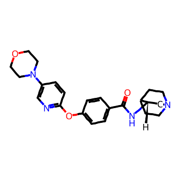 O=C(N[C@H]1CN2CCC1CC2)c1ccc(Oc2ccc(N3CCOCC3)cn2)cc1